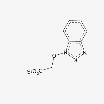 CCOC(=O)COn1nnc2ccccc21